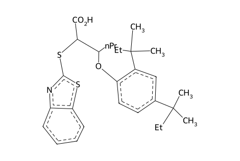 CCCC(Oc1ccc(C(C)(C)CC)cc1C(C)(C)CC)C(Sc1nc2ccccc2s1)C(=O)O